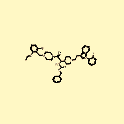 CCOc1cccc(F)c1CN1CCN(C(=O)[C@H](NC(=O)OCc2ccccc2)C2CCN(CCc3cn(-c4ccccc4F)c4ccccc34)CC2)CC1